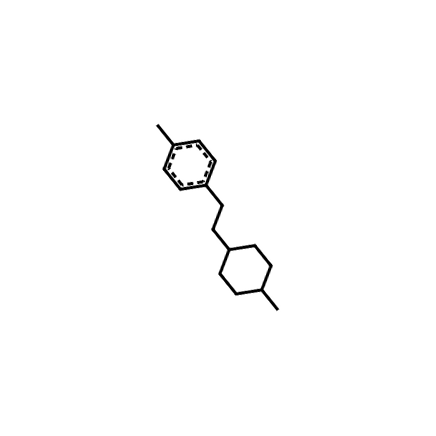 Cc1ccc(CCC2CCC(C)CC2)cc1